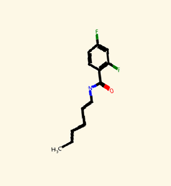 CCCCCC[N]C(=O)c1ccc(F)cc1F